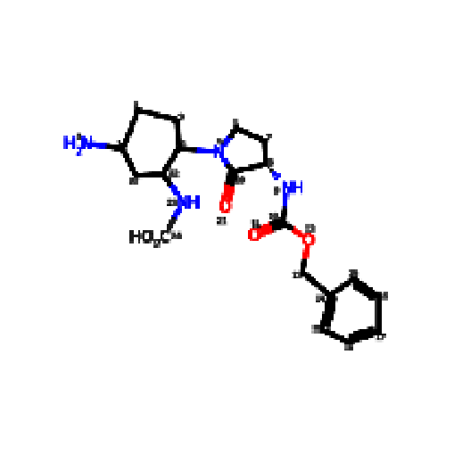 NC1CCC(N2CC[C@H](NC(=O)OCc3ccccc3)C2=O)C(NC(=O)O)C1